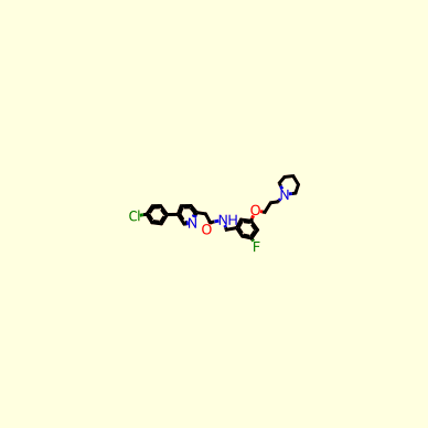 O=C(Cc1ccc(-c2ccc(Cl)cc2)cn1)NCc1cc(F)cc(OCCCN2CCCCC2)c1